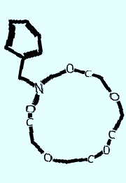 c1ccc(CN2COCCOCCOCCOCCO2)cc1